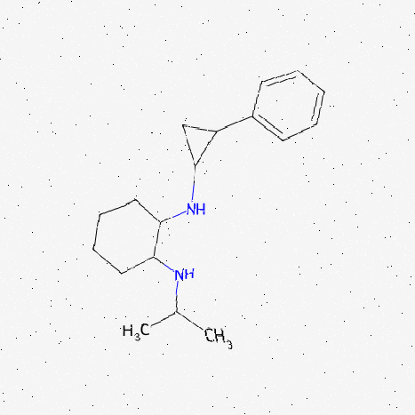 CC(C)NC1CCCCC1NC1CC1c1ccccc1